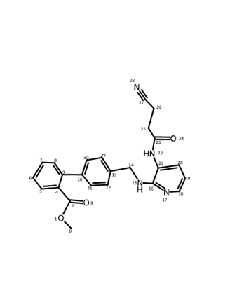 COC(=O)c1ccccc1-c1ccc(CNc2ncccc2NC(=O)CCC#N)cc1